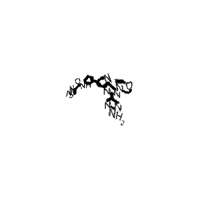 Nc1ncc(-c2nc(N3CCOCC3)c3ncc(-c4cccc(NC(=O)c5csnn5)c4)cc3n2)cn1